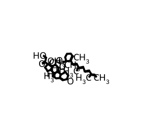 C/C=C(C)/C=C/C=C(C)/C=C/C1=C(C)CCCC1(C)C(=O)O[C@H]1C[C@@]2(C)[C@@H](CC[C@]2(O)C(=O)CO)[C@@H]2CCC3=CC(=O)CC[C@]3(C)[C@H]21